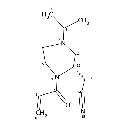 C=CC(=O)N1CCN(C(C)C)C[C@@H]1CC#N